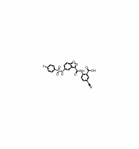 N#Cc1ccc(NC(=O)c2noc3ccc(NS(=O)(=O)c4ccc(F)cc4)cc23)c(C(=O)O)c1